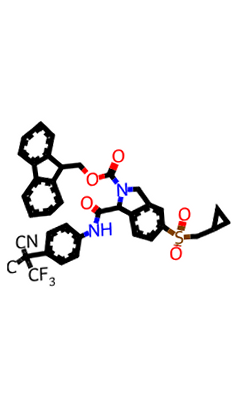 N#CC(c1ccc(NC(=O)C2c3ccc(S(=O)(=O)CC4CC4)cc3CN2C(=O)OCC2c3ccccc3-c3ccccc32)cc1)(C(F)(F)F)C(F)(F)F